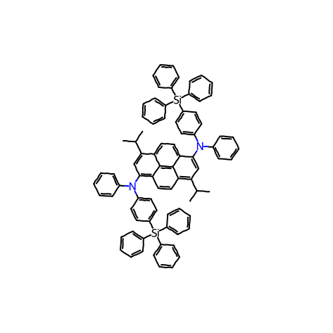 CC(C)c1cc(N(c2ccccc2)c2ccc([Si](c3ccccc3)(c3ccccc3)c3ccccc3)cc2)c2ccc3c(C(C)C)cc(N(c4ccccc4)c4ccc([Si](c5ccccc5)(c5ccccc5)c5ccccc5)cc4)c4ccc1c2c34